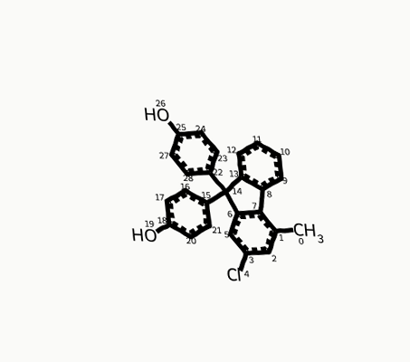 Cc1cc(Cl)cc2c1-c1ccccc1C2(c1ccc(O)cc1)c1ccc(O)cc1